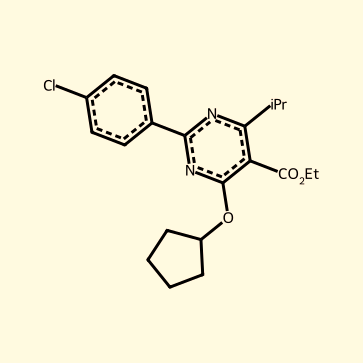 CCOC(=O)c1c(OC2CCCC2)nc(-c2ccc(Cl)cc2)nc1C(C)C